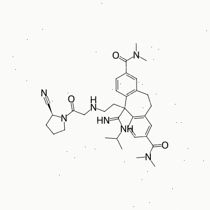 CC(C)NC(=N)C1(CCNCC(=O)N2CCC[C@H]2C#N)c2ccc(C(=O)N(C)C)cc2CCc2cc(C(=O)N(C)C)ccc21